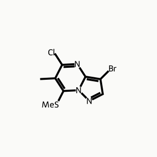 CSc1c(C)c(Cl)nc2c(Br)cnn12